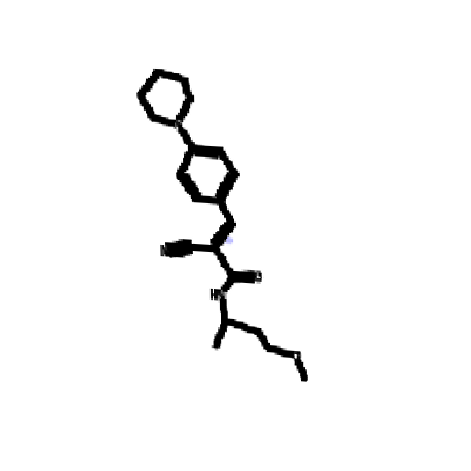 COCCC(C)NC(=O)/C(C#N)=C/c1ccc(N2CCCCC2)cc1